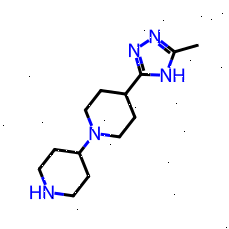 Cc1nnc(C2CCN(C3CCNCC3)CC2)[nH]1